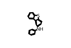 c1ccc(Nc2ccc3sc4ccccc4c3c2)cc1